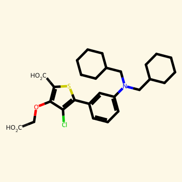 O=C(O)COc1c(C(=O)O)sc(-c2cccc(N(CC3CCCCC3)CC3CCCCC3)c2)c1Cl